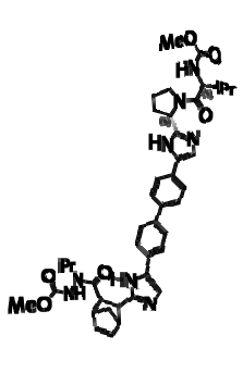 COC(=O)N[C@H](C(=O)N1CCC[C@H]1c1ncc(-c2ccc(-c3ccc(-c4cnc(C5C6C=CC(C6)C5C(=O)N(NC(=O)OC)C(C)C)[nH]4)cc3)cc2)[nH]1)C(C)C